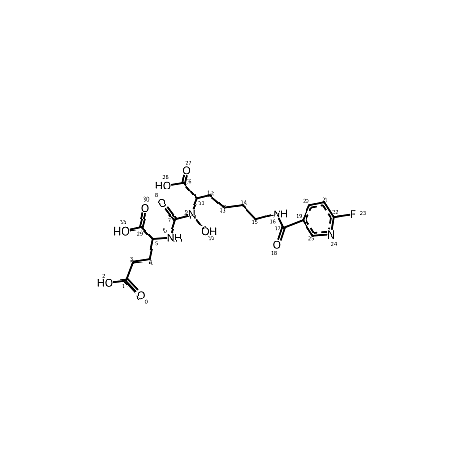 O=C(O)CCC(NC(=O)N(O)C(CCCCNC(=O)c1ccc(F)nc1)C(=O)O)C(=O)O